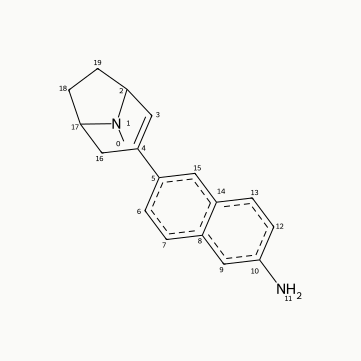 CN1C2C=C(c3ccc4cc(N)ccc4c3)CC1CC2